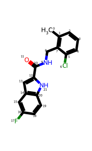 Cc1cccc(Cl)c1CNC(=O)c1cc2cc(F)ccc2[nH]1